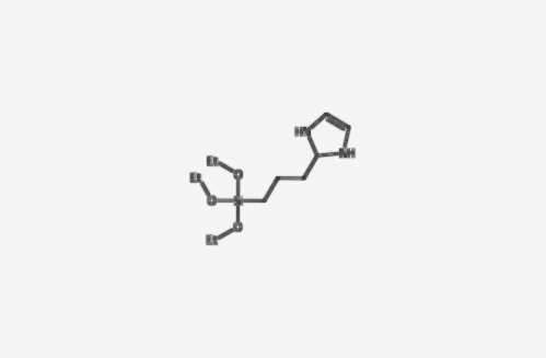 CCO[Si](CCCC1NC=CN1)(OCC)OCC